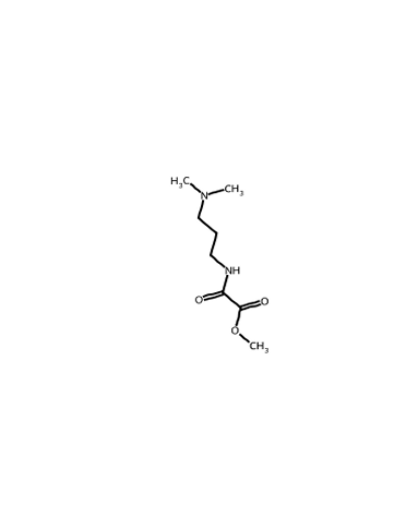 COC(=O)C(=O)NCCCN(C)C